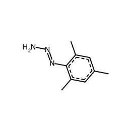 Cc1cc(C)c(N=NN)c(C)c1